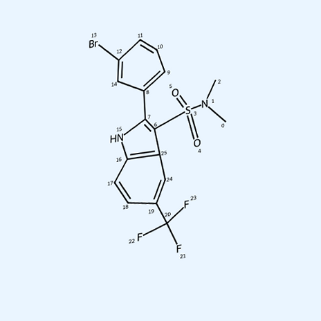 CN(C)S(=O)(=O)c1c(-c2cccc(Br)c2)[nH]c2ccc(C(F)(F)F)cc12